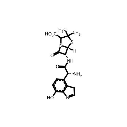 CC1(C)S[C@@H]2[C@H](NC(=O)[C@H](N)c3ccc(O)c4c3CC=N4)C(=O)N2C1C(=O)O